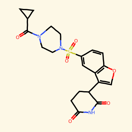 O=C1CCC(c2coc3ccc(S(=O)(=O)N4CCN(C(=O)C5CC5)CC4)cc23)C(=O)N1